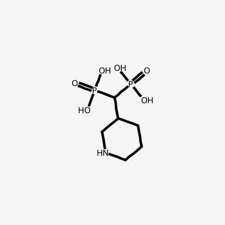 O=P(O)(O)C(C1CCCNC1)P(=O)(O)O